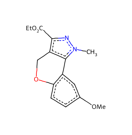 CCOC(=O)c1nn(C)c2c1COc1ccc(OC)cc1-2